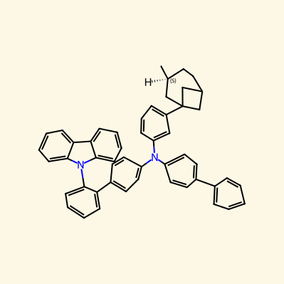 C[C@H]1CCC2CC(c3cccc(N(c4ccc(-c5ccccc5)cc4)c4ccc(-c5ccccc5-n5c6ccccc6c6ccccc65)cc4)c3)(C2)C1